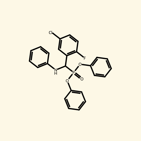 O=P(Oc1ccccc1)(Oc1ccccc1)C(Nc1ccccc1)c1cc(Cl)ccc1F